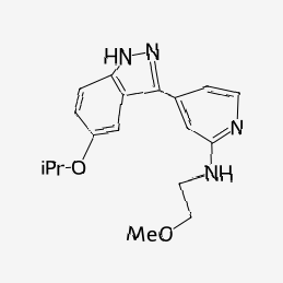 COCCNc1cc(-c2n[nH]c3ccc(OC(C)C)cc23)ccn1